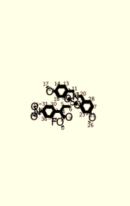 COC(=O)C(CCS(=O)(=O)N(Cc1ccc(OC)cc1)Cc1ccc(OC)cc1)c1ccc([N+](=O)[O-])cc1F